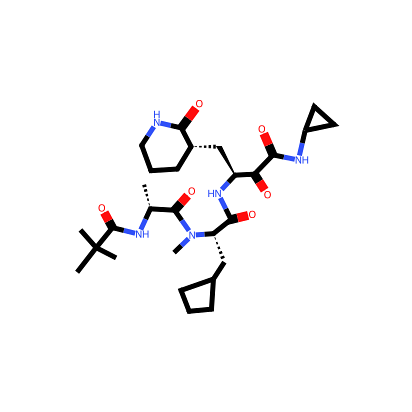 C[C@@H](NC(=O)C(C)(C)C)C(=O)N(C)[C@@H](CC1CCC1)C(=O)N[C@@H](C[C@@H]1CCCNC1=O)C(=O)C(=O)NC1CC1